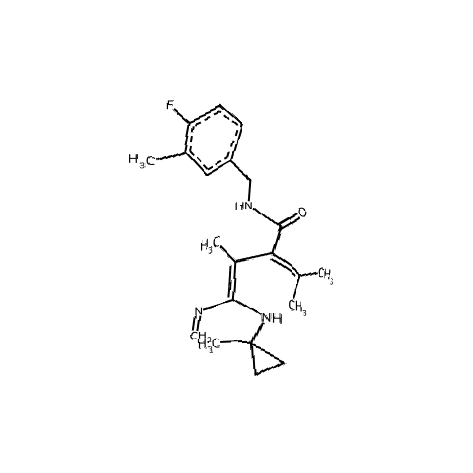 C=N/C(NC1(C)CC1)=C(\C)C(C(=O)NCc1ccc(F)c(C)c1)=C(C)C